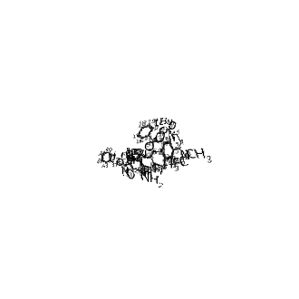 CN(C)C1CCN(C(=O)OC(C)(C)C)c2c(OCc3ccccc3)c3c(c(F)c21)C[C@H]1C[C@H]2[C@H](N)c4onc(OCc5ccccc5)c4C(=O)[C@@]2(O[Si](C)(C)C(C)(C)C)C(O)=C1C3=O